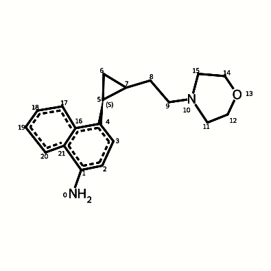 Nc1ccc([C@H]2CC2CCN2CCOCC2)c2ccccc12